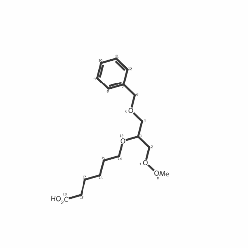 COOCC(COCc1ccccc1)OCCCCCC(=O)O